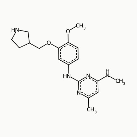 CNc1cc(C)nc(Nc2ccc(OC)c(OCC3CCNC3)c2)n1